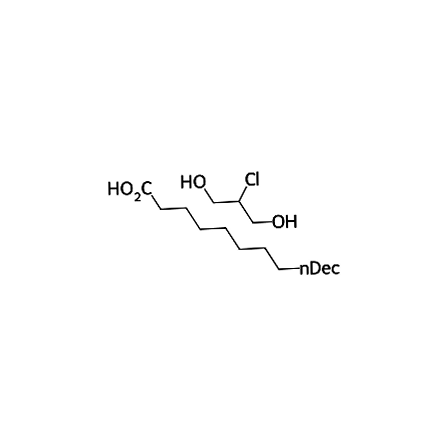 CCCCCCCCCCCCCCCCCC(=O)O.OCC(Cl)CO